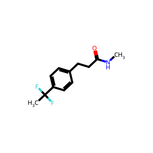 CNC(=O)CCc1ccc(C(C)(F)F)cc1